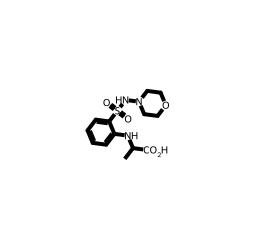 CC(Nc1ccccc1S(=O)(=O)NN1CCOCC1)C(=O)O